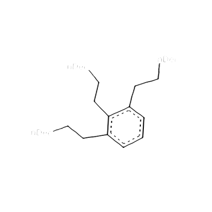 CCCCCCCCCCCCc1c[c]cc(CCCCCCCCCCCC)c1CCCCCCCCCCCC